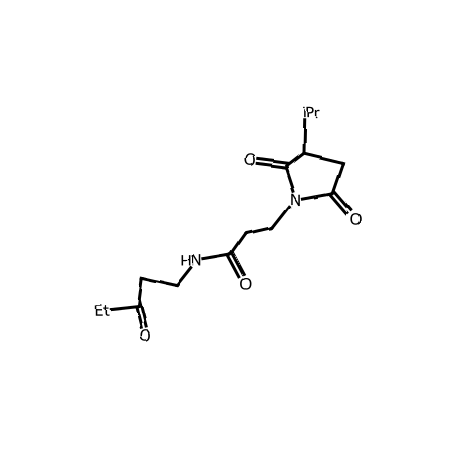 CCC(=O)CCNC(=O)CCN1C(=O)CC(C(C)C)C1=O